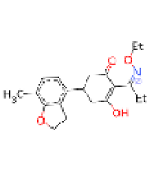 CCO/N=C(/CC)C1=C(O)CC(c2ccc(C)c3c2CCO3)CC1=O